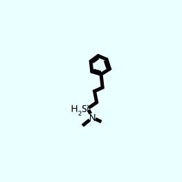 CN(C)[SiH2]CCCc1ccccc1